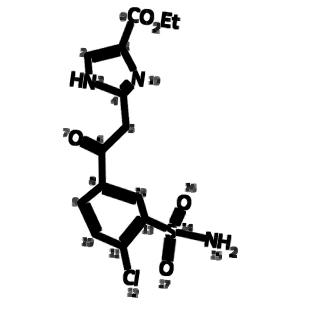 CCOC(=O)c1c[nH]c(CC(=O)c2ccc(Cl)c(S(N)(=O)=O)c2)n1